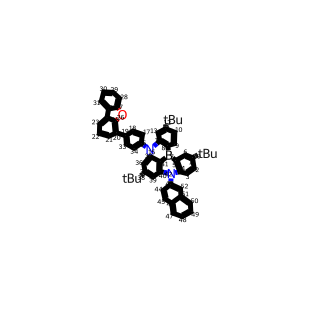 CC(C)(C)c1ccc2c(c1)B1c3ccc(C(C)(C)C)cc3N(c3ccc(-c4cccc5c4oc4ccccc45)cc3)c3cc(C(C)(C)C)cc(c31)N2c1ccc2ccccc2c1